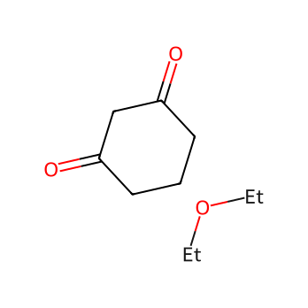 CCOCC.O=C1CCCC(=O)C1